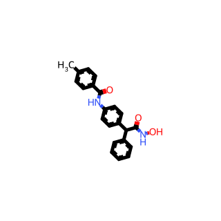 Cc1ccc(C(=O)Nc2ccc(C(C(=O)NO)c3ccccc3)cc2)cc1